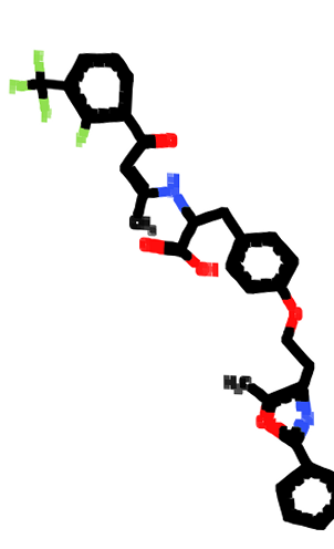 C/C(=C/C(=O)c1cccc(C(F)(F)F)c1F)NC(Cc1ccc(OCCc2nc(-c3ccccc3)oc2C)cc1)C(=O)O